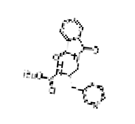 CC(C)COC(=O)N[C@@H](Cc1cccnc1)CN1C(=O)c2ccccc2C1=O